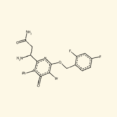 CC(C)n1c(C(N)CC(N)=O)nc(OCc2ccc(F)cc2F)c(Br)c1=O